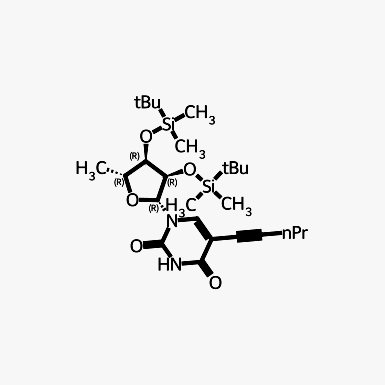 CCCC#Cc1cn([C@@H]2O[C@H](C)[C@@H](O[Si](C)(C)C(C)(C)C)[C@H]2O[Si](C)(C)C(C)(C)C)c(=O)[nH]c1=O